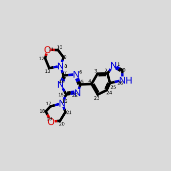 c1nc2cc(-c3nc(N4CCOCC4)nc(N4CCOCC4)n3)ccc2[nH]1